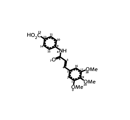 COc1cc(/C=C/C(=O)Nc2ccc(C(=O)O)cc2)cc(OC)c1OC